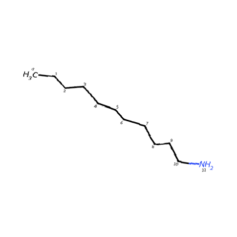 CCCCCCCCCCCN